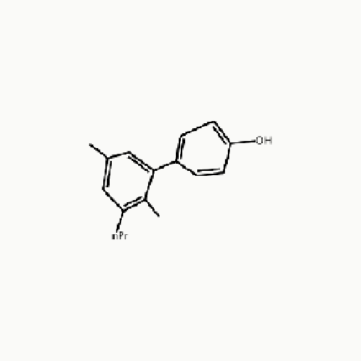 CCCc1cc(C)cc(-c2ccc(O)cc2)c1C